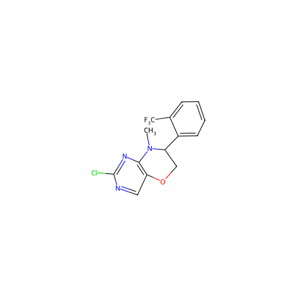 CN1c2nc(Cl)ncc2OCC1c1ccccc1C(F)(F)F